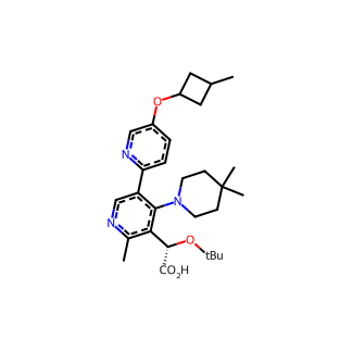 Cc1ncc(-c2ccc(OC3CC(C)C3)cn2)c(N2CCC(C)(C)CC2)c1[C@H](OC(C)(C)C)C(=O)O